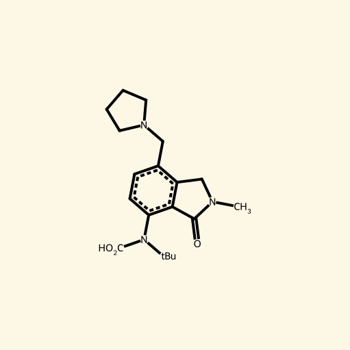 CN1Cc2c(CN3CCCC3)ccc(N(C(=O)O)C(C)(C)C)c2C1=O